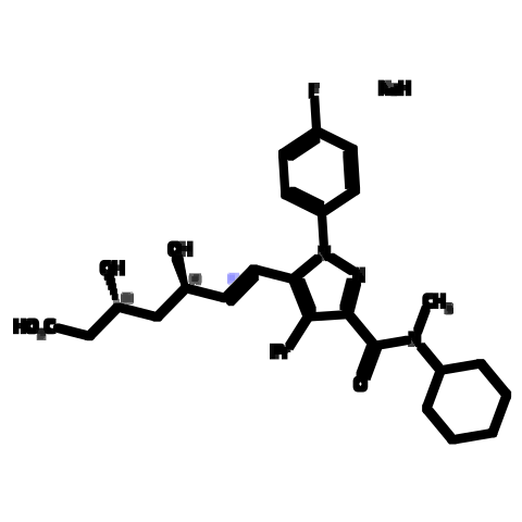 CC(C)c1c(C(=O)N(C)C2CCCCC2)nn(-c2ccc(F)cc2)c1/C=C/[C@H](O)C[C@@H](O)CC(=O)O.[NaH]